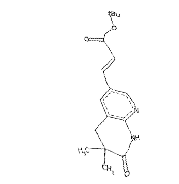 CC(C)(C)OC(=O)/C=C/c1cnc2c(c1)CC(C)(C)C(=O)N2